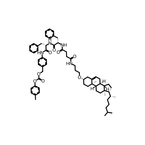 Cc1ccc(OC(=O)OCc2ccc(NC(=O)[C@H](Cc3ccccc3)NC(=O)[C@H](Cc3ccccc3)NC(=O)CCC(=O)NCCCO[C@H]3CC[C@@]4(C)C(=CC[C@H]5[C@@H]6CC[C@H]([C@H](C)CCCC(C)C)[C@@]6(C)CC[C@@H]54)C3)cc2)cc1